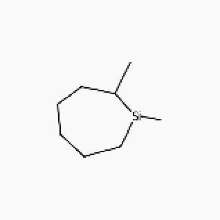 CC1CCCCC[Si]1C